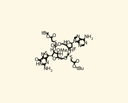 CO[C@H]1[C@H]2O[P@](=O)(SCC(=O)OC(C)(C)C)OC[C@H]3O[C@@H](n4cnc5c(N)ncnc54)[C@H](F)[C@@H]3O[P@](SCC(=O)OC(C)(C)C)OC[C@H]1O[C@H]2c1snc2c(=O)[nH]c(N)nc12